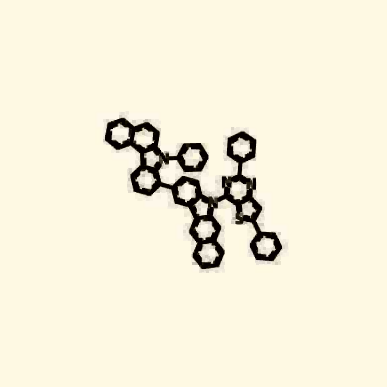 c1ccc(-c2nc(-n3c4ccc(-c5cccc6c7c8ccccc8ccc7n(-c7ccccc7)c56)cc4c4cc5ccccc5cc43)c3sc(-c4ccccc4)cc3n2)cc1